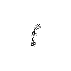 C=CC1(C)CCC(C(C)(C)CCOC(=O)OCCC(C)(C)C2CCC(C)(C=C)O2)O1